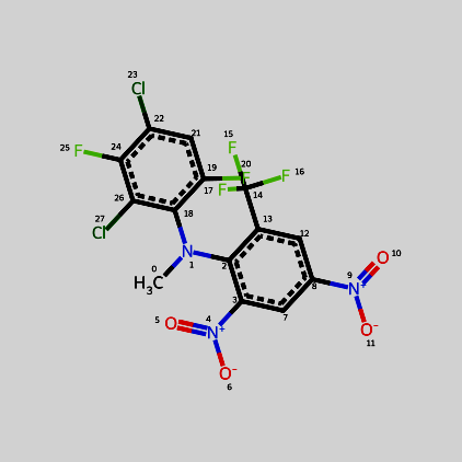 CN(c1c([N+](=O)[O-])cc([N+](=O)[O-])cc1C(F)(F)F)c1c(F)cc(Cl)c(F)c1Cl